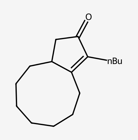 CCCCC1=C2CCCCCCCC2CC1=O